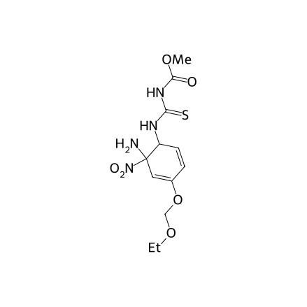 CCOCOC1=CC(N)([N+](=O)[O-])C(NC(=S)NC(=O)OC)C=C1